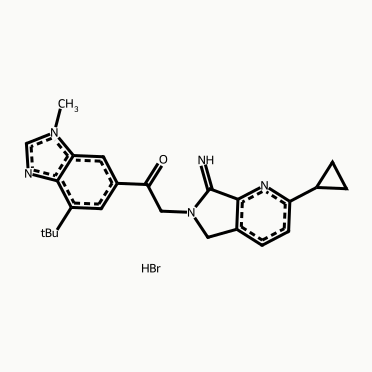 Br.Cn1cnc2c(C(C)(C)C)cc(C(=O)CN3Cc4ccc(C5CC5)nc4C3=N)cc21